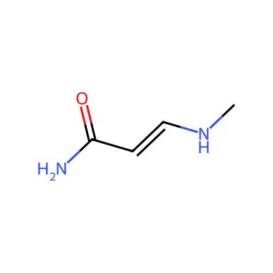 CNC=CC(N)=O